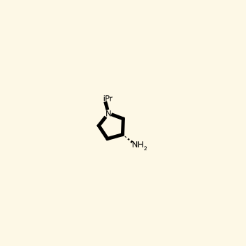 CC(C)N1CC[C@@H](N)C1